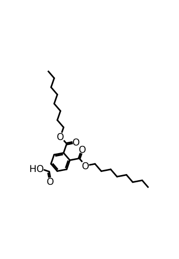 CCCCCCCCOC(=O)c1ccccc1C(=O)OCCCCCCCC.O=CO